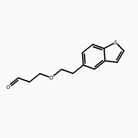 O=CCCOCCc1ccc2sccc2c1